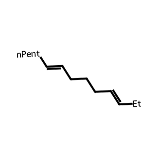 [CH2]C/C=C/CCC/C=C/CCCCC